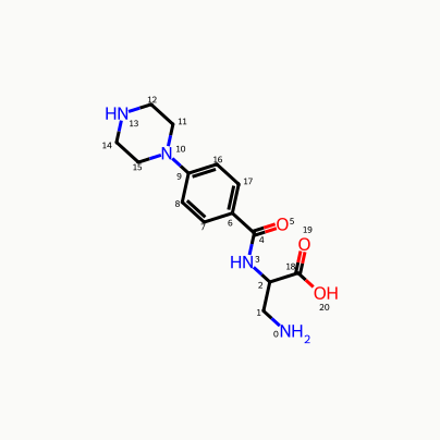 NCC(NC(=O)c1ccc(N2CCNCC2)cc1)C(=O)O